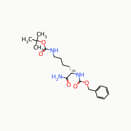 CC(C)(C)OC(=O)NCCCC[C@H](NC(=O)OCc1ccccc1)C(N)=O